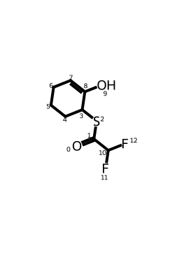 O=C(SC1CCCC=C1O)C(F)F